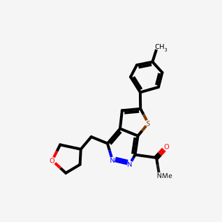 CNC(=O)c1nnc(CC2CCOC2)c2cc(-c3ccc(C)cc3)sc12